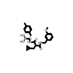 COc1cccc(CNC(=O)C(CC2CC2)C(=O)N[C@@H](Cc2ccc(C)cc2)B(O)O)c1